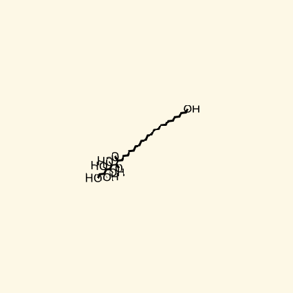 O=C(CCCCCCCCCCCCCCCCCCCCCO)C(=O)[C@H](O)[C@@H](O)[C@H](O)[C@H](O)CO